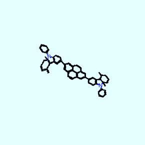 CC1CCCC2(C)C1c1cc(-c3cc4ccc5cc(-c6ccc7c(c6)C6C(C)CCCC6(C)N7c6ccccc6)cc6ccc(c3)c4c56)ccc1N2c1ccccc1